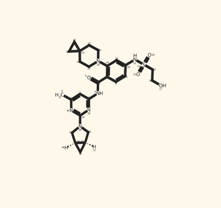 Cc1cc(NC(=O)c2ccc(NS(=O)(=O)CCO)cc2N2CCC3(CC2)CC3)nc(N2C[C@H]3C[C@H]3C2)n1